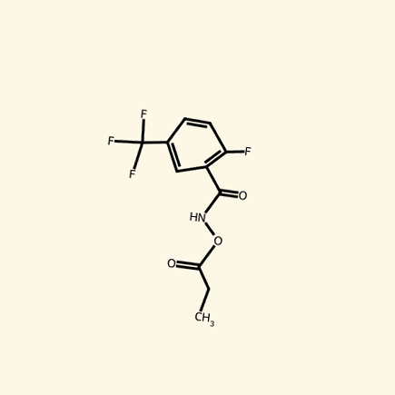 CCC(=O)ONC(=O)c1cc(C(F)(F)F)ccc1F